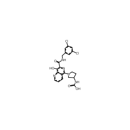 O=C(O)NC1CCN(c2nc(C(=O)NCc3cc(Cl)cc(Cl)c3)c(O)c3ncccc23)C1